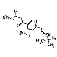 CC(C)C(C)(C)[SiH2]OCc1ccc(C(=O)CC(=O)OC(C)(C)C)cn1.[Li][CH2]CCC